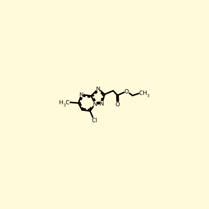 CCOC(=O)Cc1nc2nc(C)cc(Cl)n2n1